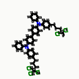 C[Si](Cl)(Cl)CCCc1ccc(N(c2ccccc2)c2ccc(-c3ccc(N(c4ccccc4)c4ccc(CCC[Si](Cl)(Cl)Cl)cc4)cc3)cc2)cc1